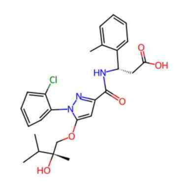 Cc1ccccc1[C@H](CC(=O)O)NC(=O)c1cc(OC[C@](C)(O)C(C)C)n(-c2ccccc2Cl)n1